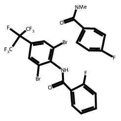 CNC(=O)c1ccc(F)cc1.O=C(Nc1c(Br)cc(C(F)(C(F)(F)F)C(F)(F)F)cc1Br)c1ccccc1F